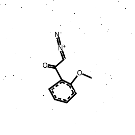 COc1ccccc1C(=O)C=[N+]=[N-]